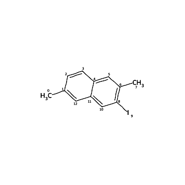 Cc1ccc2cc(C)c(I)cc2c1